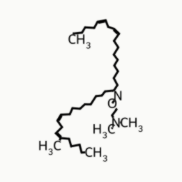 CCCCC/C=C\C/C=C\CCCCCCCC/C(CCCCCCCC/C=C\C/C=C(/C)CCCCC)=N/OCCN(C)C